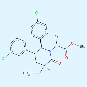 CCC(C(=O)OC(C)(C)C)N1C(=O)[C@@](C)(CC(=O)O)CC(c2cccc(Cl)c2)[C@H]1c1ccc(Cl)cc1